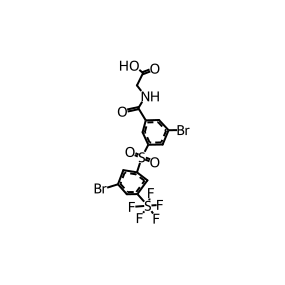 O=C(O)CNC(=O)c1cc(Br)cc(S(=O)(=O)c2cc(Br)cc(S(F)(F)(F)(F)F)c2)c1